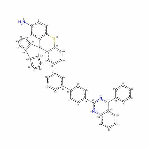 Nc1ccc2c(c1)C1(c3cc(-c4cccc(-c5ccc(-c6nc(-c7ccccc7)c7ccccc7n6)cc5)c4)ccc3S2)c2ccccc2-c2ccccc21